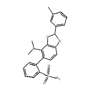 Cc1cccc(C2Oc3ccc(-c4ccccc4S(N)(=O)=O)c(N(C)C)c3O2)c1